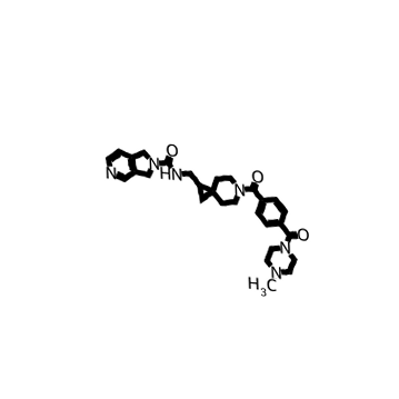 CN1CCN(C(=O)c2ccc(C(=O)N3CCC4(CC3)CC4CNC(=O)N3Cc4ccncc4C3)cc2)CC1